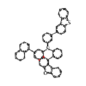 c1cc(-c2ccc3sc4ccccc4c3c2)cc(N(c2cccc(-c3cccc4ccccc34)c2)c2ccccc2-c2cccc3oc4ccccc4c23)c1